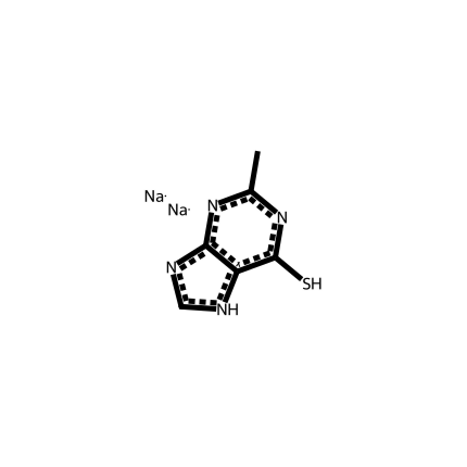 Cc1nc(S)c2[nH]cnc2n1.[Na].[Na]